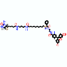 Cc1cc(C(=O)NCCNC(=O)C(SCCCCCCCCCCC(=O)NCCCCCNC(=O)CCCCC2SC[C@@H]3NC(=O)N[C@H]23)c2ccccc2)ccc1-c1c2ccc(=O)cc-2oc2cc(O)ccc12